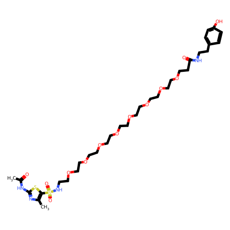 CC(=O)Nc1nc(C)c(S(=O)(=O)NCCOCCOCCOCCOCCOCCOCCOCCOCCC(=O)NCCc2ccc(O)cc2)s1